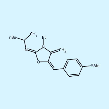 C=c1/c(=C\c2ccc(SC)cc2)oc(=NC(C)CCCC)n1CC